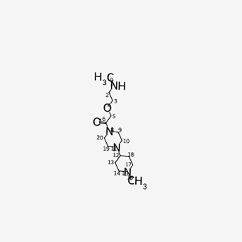 CNCCOCC(=O)N1CCN(C2CCN(C)CC2)CC1